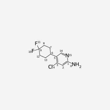 Nc1cc(Cl)c(C2CCC(F)(F)CC2)cn1